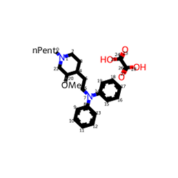 CCCCCN1CCC(CCN(c2ccccc2)c2ccccc2)C(OC)C1.O=C(O)C(=O)O